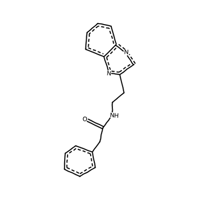 O=C(Cc1ccccc1)NCCc1cnc2ccccc2n1